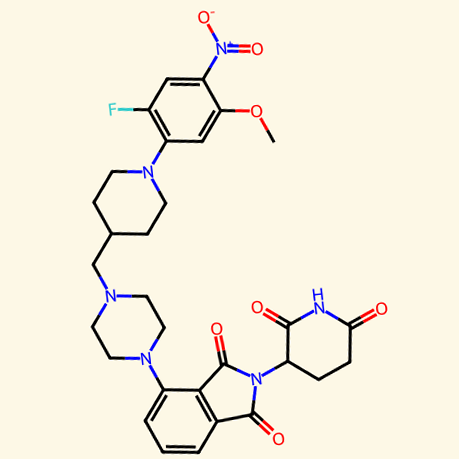 COc1cc(N2CCC(CN3CCN(c4cccc5c4C(=O)N(C4CCC(=O)NC4=O)C5=O)CC3)CC2)c(F)cc1[N+](=O)[O-]